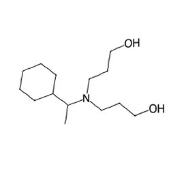 CC(C1CCCCC1)N(CCCO)CCCO